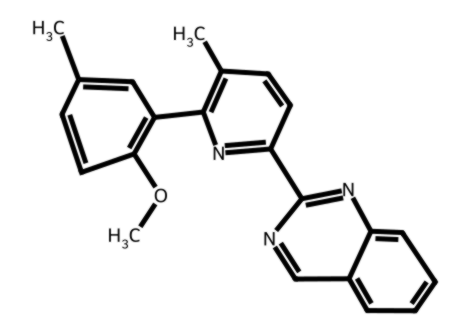 COc1ccc(C)cc1-c1nc(-c2ncc3ccccc3n2)ccc1C